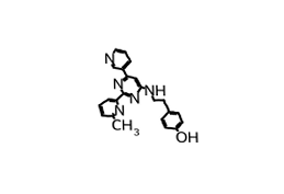 Cc1cccc(-c2nc(NCCc3ccc(O)cc3)cc(-c3cccnc3)n2)n1